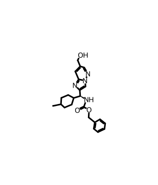 CC1CCC([C@H](NC(=O)OCc2ccccc2)c2cn3ncc(CO)cc3n2)CC1